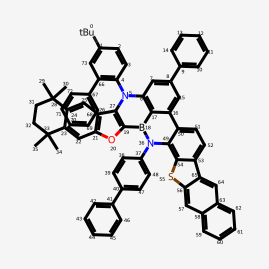 CC(C)(C)c1ccc(N2c3cc(-c4ccccc4)cc4c3B(c3oc5cc6c(cc5c32)C(C)(C)CCC6(C)C)N(c2ccc(-c3ccccc3)cc2)c2c-4ccc3c2sc2cc4ccccc4cc23)c(-c2ccccc2)c1